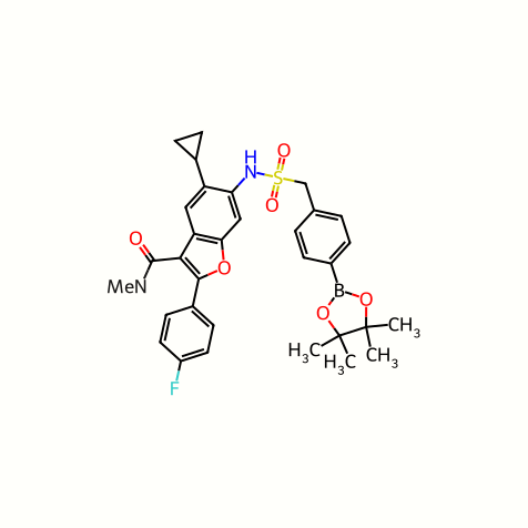 CNC(=O)c1c(-c2ccc(F)cc2)oc2cc(NS(=O)(=O)Cc3ccc(B4OC(C)(C)C(C)(C)O4)cc3)c(C3CC3)cc12